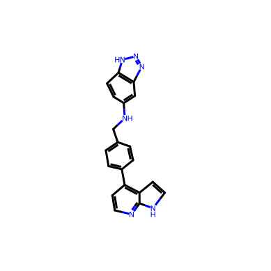 c1cc(-c2ccc(CNc3ccc4[nH]nnc4c3)cc2)c2cc[nH]c2n1